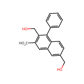 O=C(O)c1cc2cc(CO)ccc2c(-c2ccccc2)c1CO